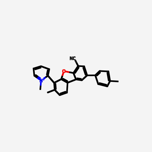 Cc1ccc(-c2cc(C#N)c3oc4c(-c5cccc[n+]5C)c(C)ccc4c3c2)cc1